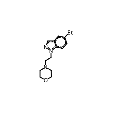 CCc1ccc2c(cnn2CCN2CCOCC2)c1